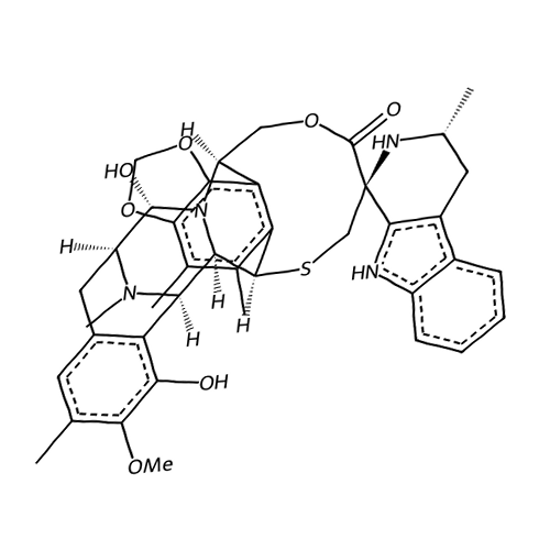 COc1c(C)cc2c(c1O)[C@@H]1[C@@H]3[C@@H]4SC[C@]5(N[C@H](C)Cc6c5[nH]c5ccccc65)C(=O)OC[C@@H](c5c6c(c(C)c(C)c54)OCO6)N3[C@@H](O)[C@H](C2)N1C